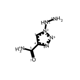 NNn1cc(C(N)=O)nn1